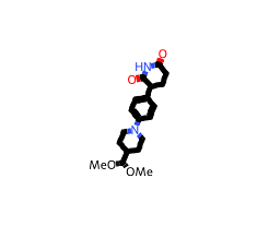 COC(OC)C1CCN(c2ccc(C3CCC(=O)NC3=O)cc2)CC1